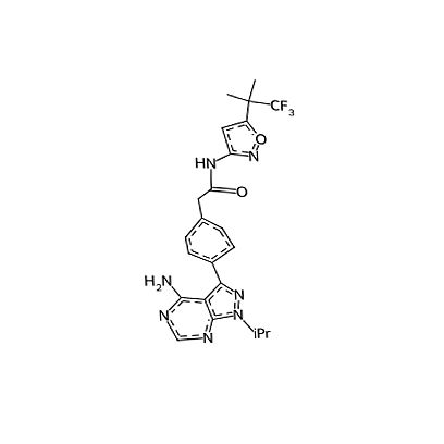 CC(C)n1nc(-c2ccc(CC(=O)Nc3cc(C(C)(C)C(F)(F)F)on3)cc2)c2c(N)ncnc21